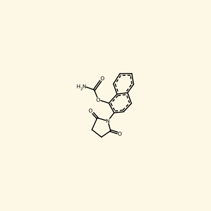 NC(=O)Oc1c(N2C(=O)CCC2=O)ccc2ccccc12